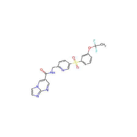 CC(F)(F)Oc1cccc(S(=O)(=O)c2ccc(CNC(=O)c3cnc4nccn4c3)nc2)c1